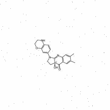 Cc1cc2c(cc1C)C(=O)[C@]1(O)CCN(c3ccc4c(c3)OCCN4)C1=N2